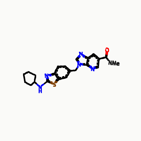 CNC(=O)c1cnc2c(c1)ncn2Cc1ccc2nc(NC3CCCCC3)sc2c1